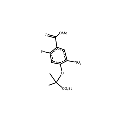 CCOC(=O)C(C)(C)Oc1cc(F)c(C(=O)OC)cc1[N+](=O)[O-]